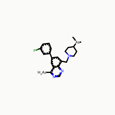 C[As](C)C1CCN(Cc2cc(-c3cccc(F)c3)cc3c([AsH2])ncnc23)CC1